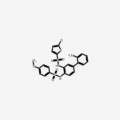 O=S(=O)(Nc1ccc(-c2ccccc2C(F)(F)F)cc1NS(=O)(=O)c1ccc(Cl)s1)c1ccc(OC(F)(F)F)cc1